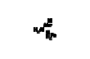 [AlH3].[Fe].[Mn].[Ni].[SiH4]